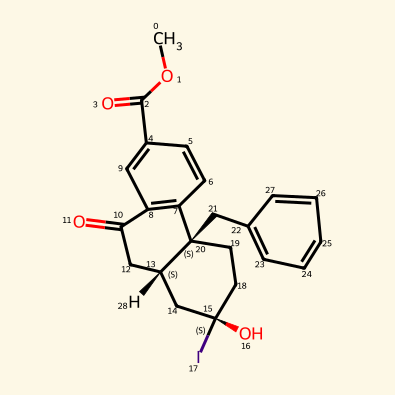 COC(=O)c1ccc2c(c1)C(=O)C[C@H]1C[C@@](O)(I)CC[C@@]21Cc1ccccc1